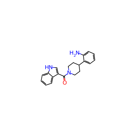 Nc1ccccc1C1CCN(C(=O)c2c[nH]c3ccccc23)CC1